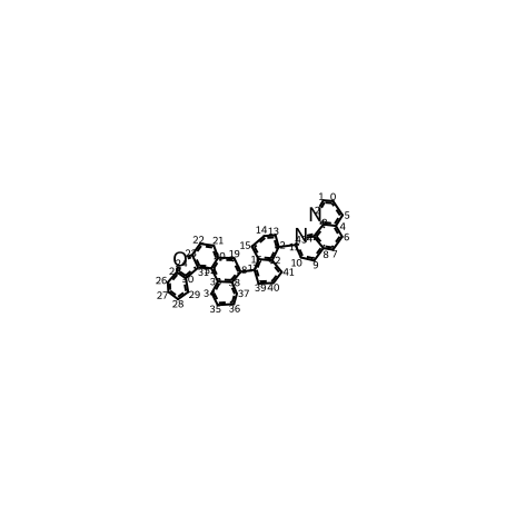 c1cnc2c(c1)ccc1ccc(-c3cccc4c(-c5cc6ccc7oc8ccccc8c7c6c6ccccc56)cccc34)nc12